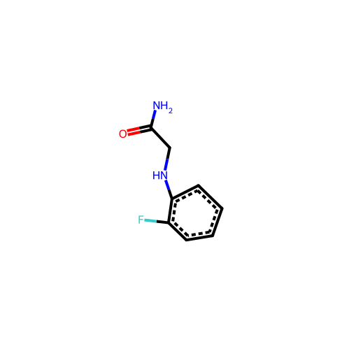 NC(=O)CNc1ccccc1F